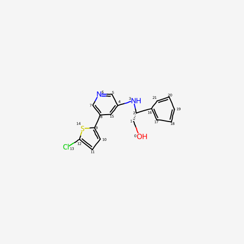 OC[C@H](Nc1cncc(-c2ccc(Cl)s2)c1)c1ccccc1